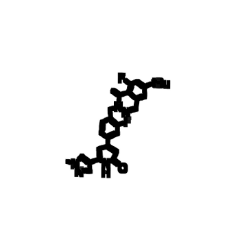 C=C1c2c(F)cc(C(C)(C)C)cc2C=NN1Cc1ccc(-c2cc(-c3cnn(C)c3)[nH]c(=O)c2)cc1F